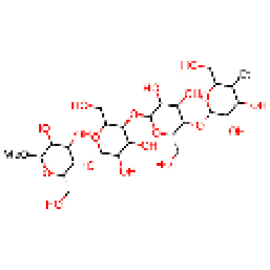 CC[C@@H]1C(CO)O[C@@H](O[C@H]2C(O)C(O)[C@H](O[C@@H]3C(CO)O[C@@H](O[C@H]4C(O)C(O)[C@H](OC)O[C@H]4CO)[C@@H](O)C3O)O[C@H]2CO)[C@@H](O)C1O